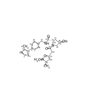 Cc1ncsc1-c1ccc(CNC(=O)[C@@H]2C[C@@H](O)CN2C(=O)CC2=CC(C)N(C)O2)cc1